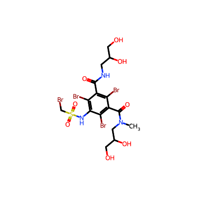 CN(CC(O)CO)C(=O)c1c(Br)c(NS(=O)(=O)CBr)c(Br)c(C(=O)NCC(O)CO)c1Br